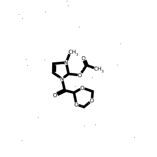 CC(=O)OC1N(C)C=CN1C(=O)C1OCOCO1